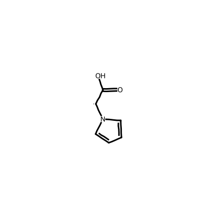 O=C(O)[CH]n1cccc1